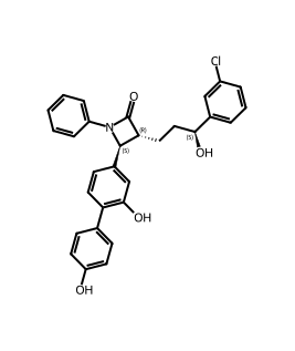 O=C1[C@H](CC[C@H](O)c2cccc(Cl)c2)[C@@H](c2ccc(-c3ccc(O)cc3)c(O)c2)N1c1ccccc1